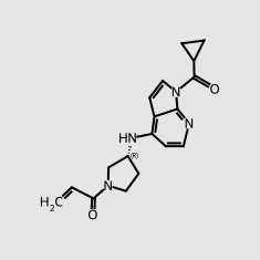 C=CC(=O)N1CC[C@@H](Nc2ccnc3c2ccn3C(=O)C2CC2)C1